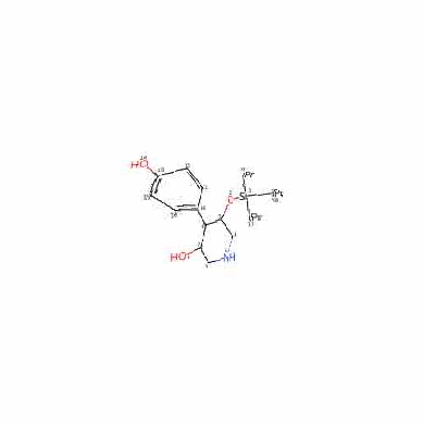 CC(C)[Si](OC1CNCC(O)C1c1ccc(O)cc1)(C(C)C)C(C)C